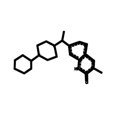 Cc1cc2ccc(C(C)N3CCN(C4CCCCC4)CC3)cc2[nH]c1=O